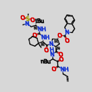 C=CCNC(=O)C(=O)C(CCCC)NC(=O)[C@@H]1C[C@@H](OC(=O)N2CCc3ccccc3C2)CN1C(=O)[C@@H](NC(=O)N[C@H](CN(C)S(C)(=O)=O)C(C)(C)C)C1(C)CCCCC1